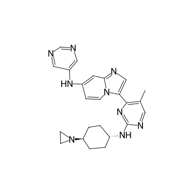 Cc1cnc(N[C@H]2CC[C@H](N3CC3)CC2)nc1-c1cnc2cc(Nc3cncnc3)ccn12